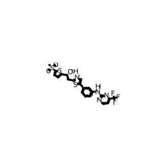 CS(=O)(=O)c1ccc(C(O)Cc2ncc(-c3cccc(Nc4nccc(C(F)(F)F)n4)c3)s2)s1